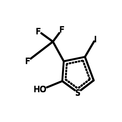 Oc1scc(I)c1C(F)(F)F